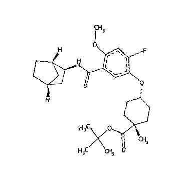 COc1cc(F)c(O[C@H]2CC[C@@](C)(C(=O)OC(C)(C)C)CC2)cc1C(=O)N[C@H]1C[C@@H]2CC[C@H]1C2